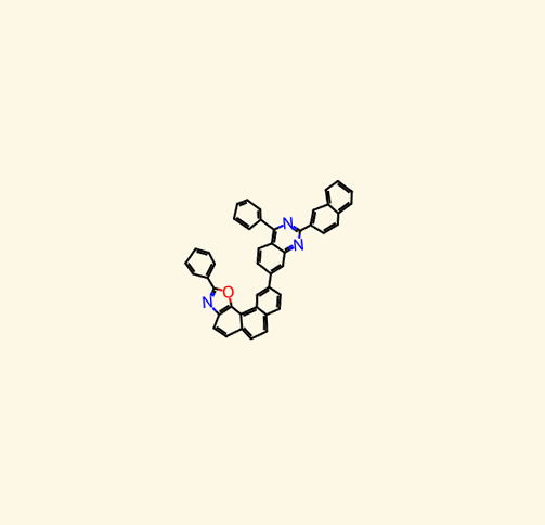 c1ccc(-c2nc3ccc4ccc5ccc(-c6ccc7c(-c8ccccc8)nc(-c8ccc9ccccc9c8)nc7c6)cc5c4c3o2)cc1